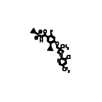 CC1(COc2cc(F)c(C(=O)NS(=O)(=O)C3CC3)cc2C2CC2)CN(c2ncc(C(F)(F)F)cc2Cl)C1